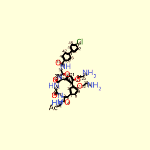 CC(=O)CNC(=O)C1Cc2ccc(OCCN)c(c2)-c2cc(ccc2OCCN)C(N(C)C(=O)CNC(=O)c2ccc(-c3ccc(Cl)cc3)cc2)C(=O)NCC(=O)N1